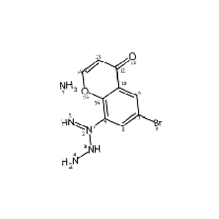 N.N=[N+](NN)c1cc(Br)cc2c(=O)c[c]oc12